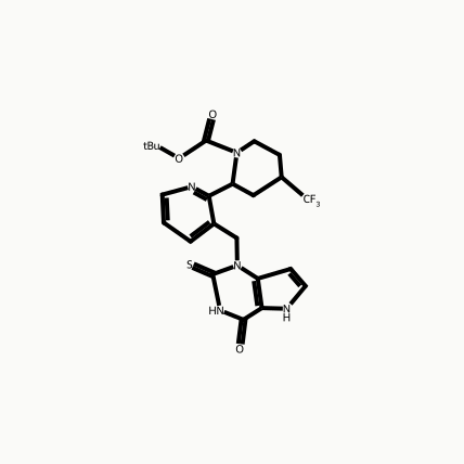 CC(C)(C)OC(=O)N1CCC(C(F)(F)F)CC1c1ncccc1Cn1c(=S)[nH]c(=O)c2[nH]ccc21